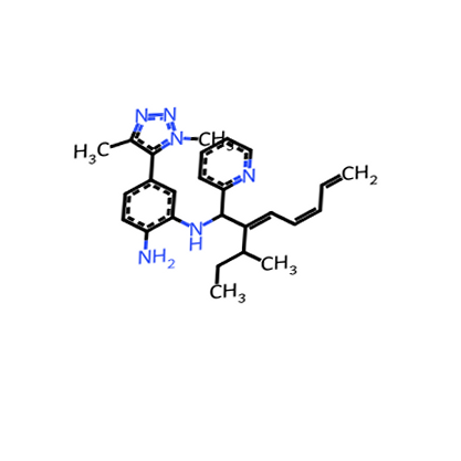 C=C/C=C\C=C(/C(C)CC)C(Nc1cc(-c2c(C)nnn2C)ccc1N)c1ccccn1